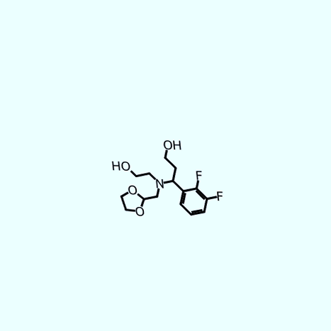 OCCC(c1cccc(F)c1F)N(CCO)CC1OCCO1